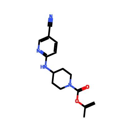 C=C(C)OC(=O)N1CCC(Nc2ccc(C#N)cn2)CC1